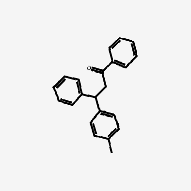 Cc1ccc(C(CC(=O)c2ccccc2)c2ccccc2)cc1